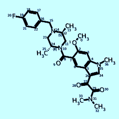 COc1cc2c(cc1C(=O)N1C[C@H](C)N(Cc3ccc(F)cc3)C[C@H]1C)c(C(=O)C(=O)N(C)C)cn2C